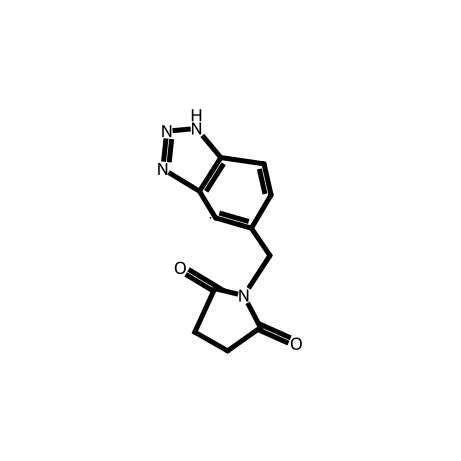 O=C1CCC(=O)N1Cc1[c]c2nn[nH]c2cc1